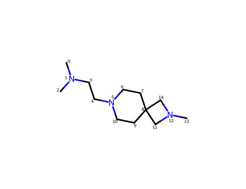 CN(C)CCN1CCC2(CC1)CN(C)C2